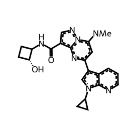 CNc1cc(-c2cn(C3CC3)c3ncccc23)nc2c(C(=O)NC3CC[C@H]3O)cnn12